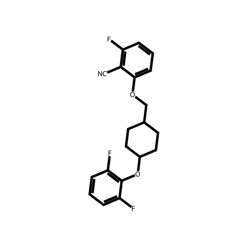 N#Cc1c(F)cccc1OCC1CCC(Oc2c(F)cccc2F)CC1